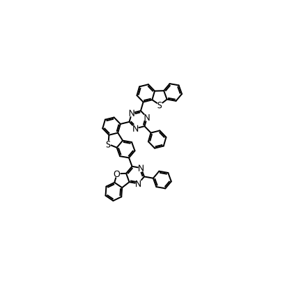 c1ccc(-c2nc(-c3cccc4c3sc3ccccc34)nc(-c3cccc4sc5cc(-c6nc(-c7ccccc7)nc7c6oc6ccccc67)ccc5c34)n2)cc1